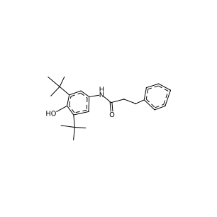 CC(C)(C)c1cc(NC(=O)CCc2ccccc2)cc(C(C)(C)C)c1O